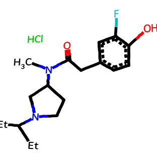 CCC(CC)N1CCC(N(C)C(=O)Cc2ccc(O)c(F)c2)C1.Cl